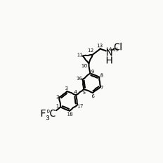 FC(F)(F)c1ccc(-c2cccc(C3CC3CNCl)c2)cc1